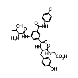 CC(O)C(N)C(=O)Nc1cc(C(=O)Nc2ccc(Cl)cc2)cc(C(=O)NC(Cc2ccc(O)cc2)C(=O)NCC(=O)O)c1